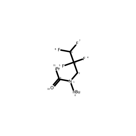 CCCCN(CC(F)(F)C(F)F)C(=O)C(C)C